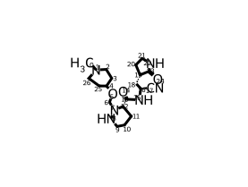 CN1CCC(OCN2NCCC[C@H]2C(=O)N[C@H](C#N)C[C@@H]2CCNC2=O)CC1